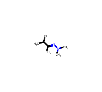 CCC(C)C(C)=NN(C)C